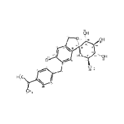 CC(C)c1ccc(Cc2cc3c(cc2Cl)CO[C@]32O[C@H](C)[C@@H](O)[C@H](O)[C@H]2O)cc1